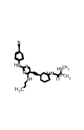 CCCNc1nc(Nc2ccc(C#N)cc2)ncc1C#CC1CCCC(NC(=O)[C@H](C)NC)C1